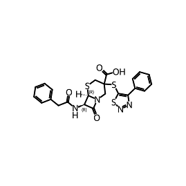 O=C(Cc1ccccc1)N[C@@H]1C(=O)N2CC(Sc3snnc3-c3ccccc3)(C(=O)O)CS[C@H]12